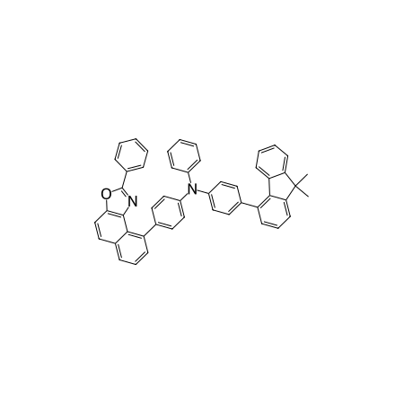 CC1(C)c2ccccc2-c2c(-c3ccc(N(c4ccccc4)c4ccc(-c5cccc6ccc7oc(-c8ccccc8)nc7c56)cc4)cc3)cccc21